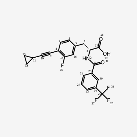 O=C(N[C@H](Cc1ccc(C#CC2CC2)c(F)c1)C(=O)O)c1cccc(C(F)(F)F)c1